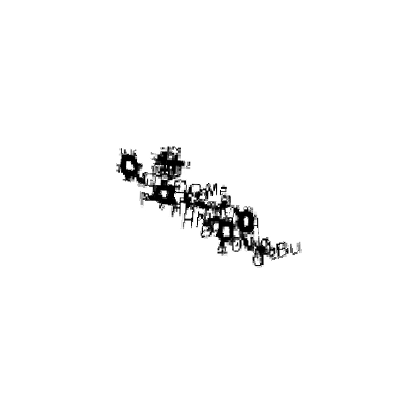 COC(=O)[C@H](Cc1cc(F)c(OCc2ccccc2)c(B2OC(C)(C)C(C)(C)O2)c1)NC(=O)[C@H](C)NC(=O)[C@H](c1ccc(OCCNC(=O)OC(C)(C)C)c(I)c1)N(C)C(=O)OCc1ccccc1